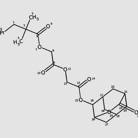 CC(C)CC(C)(C)C(=O)OCC(=O)OCC(=O)OC1C2CC3CC(C2)C(=O)OC1C3